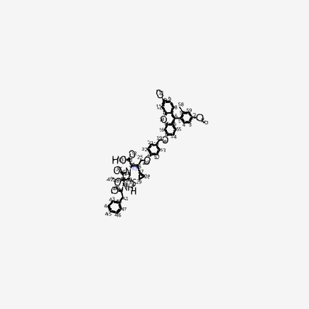 COc1ccc(-c2c3ccc(=O)cc-3oc3cc(OCc4ccc(OC/C(C5=CC5)=C(\C(=O)O)N5C(=O)[C@](NC(=O)Cc6ccccc6)(OC)[C@H]5S)cc4)ccc23)c(C)c1